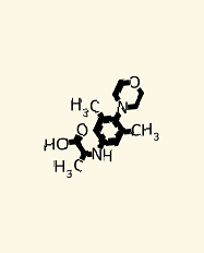 Cc1cc(NC(C)C(=O)O)cc(C)c1N1CCOCC1